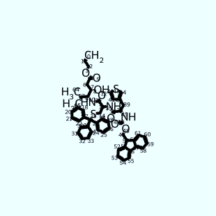 C=CCOC(=O)C[C@H](O)[C@H](NC(=O)C(CSC(c1ccccc1)(c1ccccc1)c1ccccc1)NC(=O)C(Cc1ccsc1)NC(=O)OCC1c2ccccc2-c2ccccc21)C(C)C